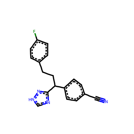 N#Cc1ccc(C(CCc2ccc(F)cc2)c2nc[nH]n2)cc1